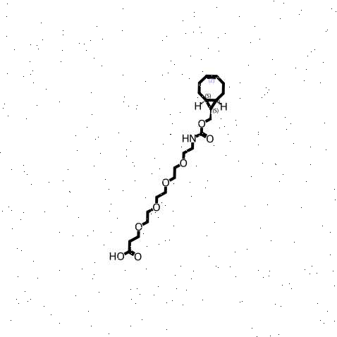 O=C(O)CCOCCOCCOCCOCCNC(=O)OC[C@@H]1[C@@H]2CC/C=C\CC[C@@H]21